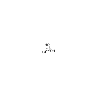 OO.[Cd].[Cd]